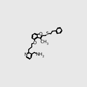 Cc1c(CSCCc2ccccc2)oc2cccc(OCCCc3ncccc3CN)c12